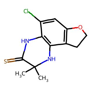 CC1(C)Nc2c3c(cc(Cl)c2NC1=S)OCC3